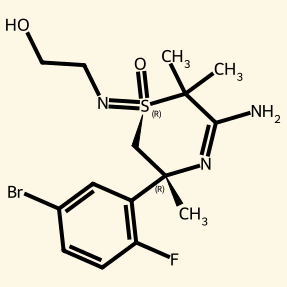 CC1(C)C(N)=N[C@](C)(c2cc(Br)ccc2F)C[S@]1(=O)=NCCO